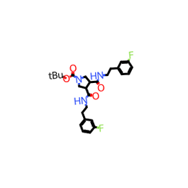 CC(C)(C)OC(=O)N1CC(C(=O)NCCc2cccc(F)c2)C(C(=O)NCCc2cccc(F)c2)C1